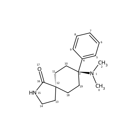 CN(C)[C@]1(c2ccccc2)CC[C@@]2(CCNC2=O)CC1